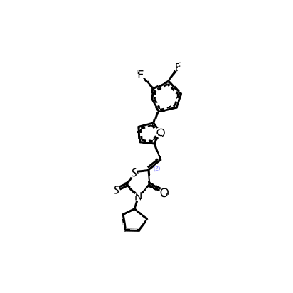 O=C1/C(=C/c2ccc(-c3ccc(F)c(F)c3)o2)SC(=S)N1C1CCCC1